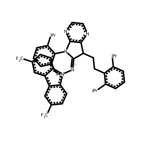 CC(C)c1cccc(C(C)C)c1CCC1/C(=N/n2c3ccc(C(F)(F)F)cc3c3cc(C(F)(F)F)ccc32)N(c2c(C(C)C)cccc2C(C)C)c2nccnc21